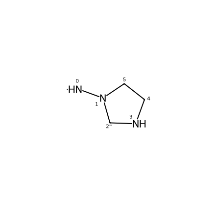 [NH]N1[C]NCC1